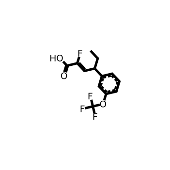 CCC(C=C(F)C(=O)O)c1cccc(OC(F)(F)F)c1